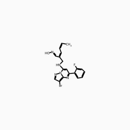 C\C=C/C=C(\C=N\O)CNc1cc(-c2ccccc2F)nc2c(Br)cnn12